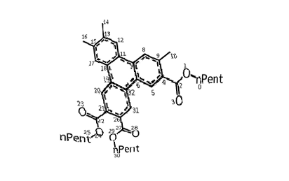 CCCCCOC(=O)c1cc2c(cc1C)c1cc(C)c(C)cc1c1cc(C(=O)OCCCCC)c(C(=O)OCCCCC)cc21